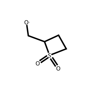 [O]CC1CCS1(=O)=O